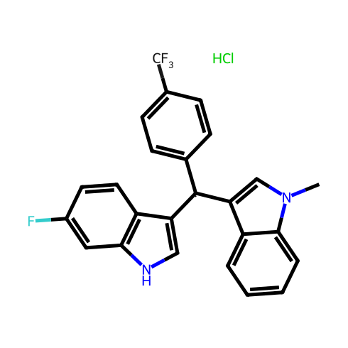 Cl.Cn1cc([C](c2ccc(C(F)(F)F)cc2)c2c[nH]c3cc(F)ccc23)c2ccccc21